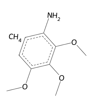 C.COc1ccc(N)c(OC)c1OC